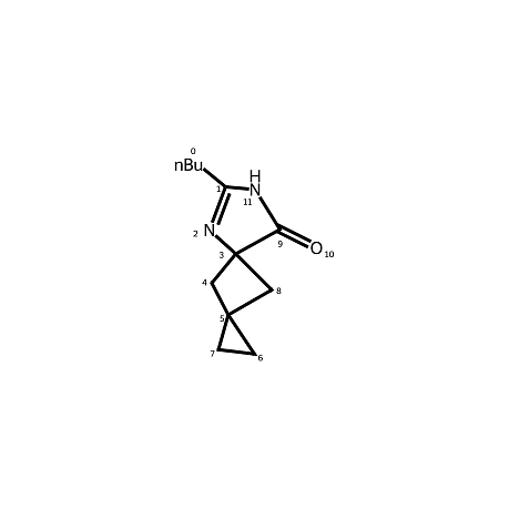 CCCCC1=NC2(CC3(CC3)C2)C(=O)N1